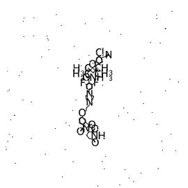 CC1(C)C(NC(=O)c2c(F)cc(N3CCN(CCCOc4ccc5c(c4)C(=O)N(C4CCC(=O)NC4=O)C5=O)CC3)cc2F)C(C)(C)C1Oc1ccc(C#N)c(Cl)c1